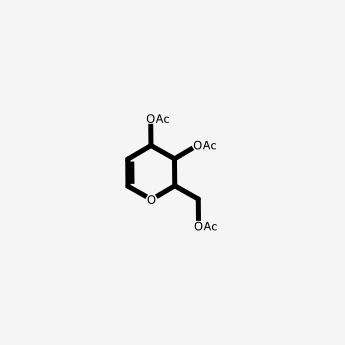 CC(=O)OCC1OC=CC(OC(C)=O)C1OC(C)=O